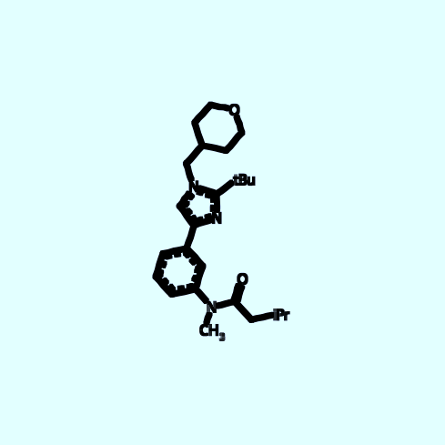 CC(C)CC(=O)N(C)c1cccc(-c2cn(CC3CCOCC3)c(C(C)(C)C)n2)c1